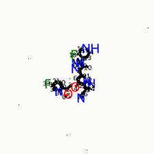 COC(COc1cc(-c2nnn([C@@H]3CCNC[C@@H]3F)c2C)cn2ncc(C#N)c12)c1ccc(F)cn1